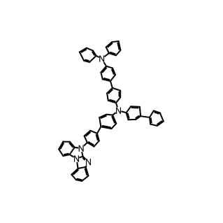 c1ccc(-c2ccc(N(c3ccc(-c4ccc(N(c5ccccc5)c5ccccc5)cc4)cc3)c3ccc(-c4ccc(-n5c6ccccc6n6c7ccccc7nc56)cc4)cc3)cc2)cc1